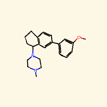 COc1cccc(-c2ccc3c(c2)C(N2CCN(C)CC2)CCC3)c1